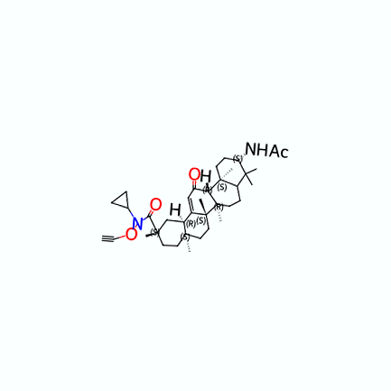 C#CON(C(=O)[C@@]1(C)CC[C@]2(C)CC[C@]3(C)C(=CC(=O)[C@@H]4[C@@]5(C)CC[C@H](NC(C)=O)C(C)(C)C5CC[C@]43C)[C@@H]2C1)C1CC1